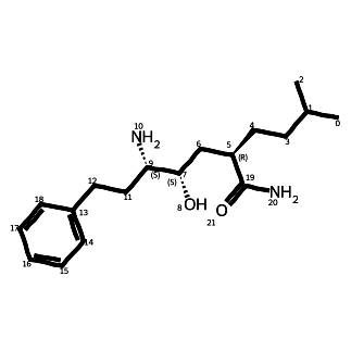 CC(C)CC[C@H](C[C@H](O)[C@@H](N)CCc1ccccc1)C(N)=O